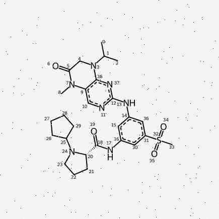 CC(C)N1CC(=O)N(C)c2cnc(Nc3cc(NC(=O)[C@@H]4CCCN4C4CCCC4)cc(S(C)(=O)=O)c3)nc21